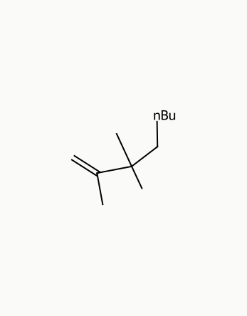 C=C(C)C(C)(C)CCCCC